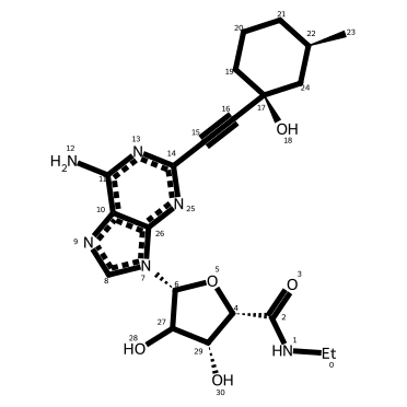 CCNC(=O)[C@H]1O[C@@H](n2cnc3c(N)nc(C#C[C@]4(O)CCC[C@@H](C)C4)nc32)C(O)[C@H]1O